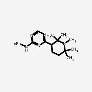 CCCCNc1ncnc(C2CCC(C)(C)N(C)C2(C)C)n1